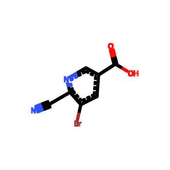 N#Cc1ncc(C(=O)O)cc1Br